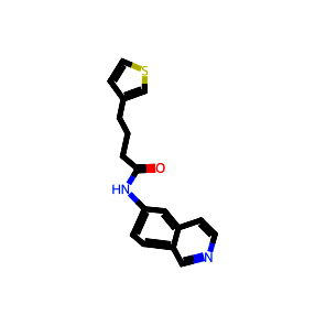 O=C(CCCc1ccsc1)Nc1ccc2cnccc2c1